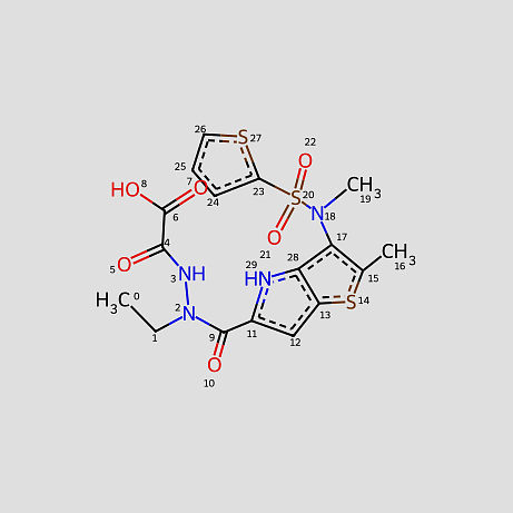 CCN(NC(=O)C(=O)O)C(=O)c1cc2sc(C)c(N(C)S(=O)(=O)c3cccs3)c2[nH]1